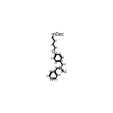 CCCCCCCCCCCCCCOc1ccc(CN(Cc2ccncc2)C(C)=O)cc1